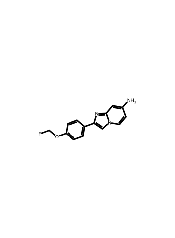 Nc1ccn2cc(-c3ccc(OCF)cc3)nc2c1